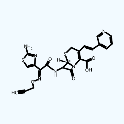 C#CCON=C(C(=O)NC1C(=O)N2C(C(=O)O)=C(C=Cc3cccnc3)CS[C@@H]12)c1csc(N)n1